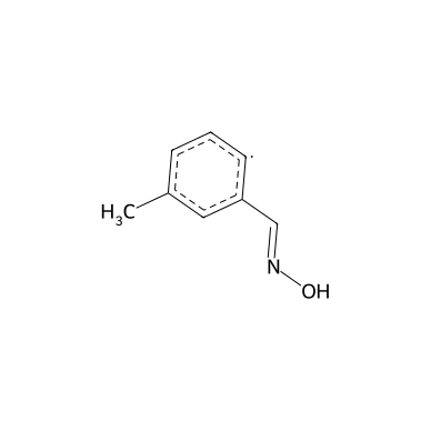 Cc1cc[c]c(C=NO)c1